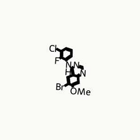 COc1cc2ncnc(Nc3cccc(Cl)c3F)c2cc1Br